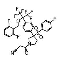 N#CCC(=O)N1CCC(c2ccc(C(OCc3c(F)cccc3F)(C(F)(F)F)C(F)(F)F)cc2)(S(=O)(=O)c2ccc(F)cc2)C1